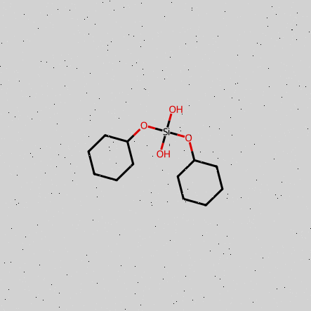 O[Si](O)(OC1CCCCC1)OC1CCCCC1